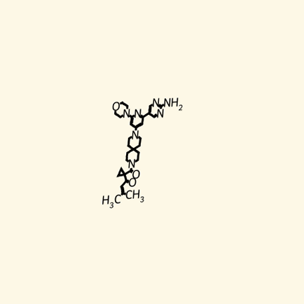 CC(C)=CC(=O)C1(C(=O)N2CCC3(CC2)CCN(c2cc(-c4cnc(N)nc4)nc(N4CCOCC4)c2)CC3)CC1